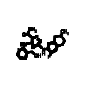 CN1CCc2cc(F)c(Nc3nnc(C(N)=O)c(Nc4ncccc4CO)n3)cc2C1